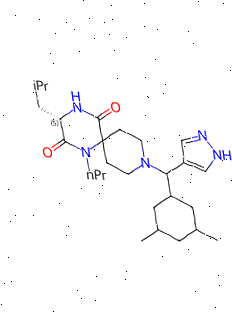 CCCN1C(=O)[C@H](CC(C)C)NC(=O)C12CCN(C(c1cn[nH]c1)C1CC(C)CC(C)C1)CC2